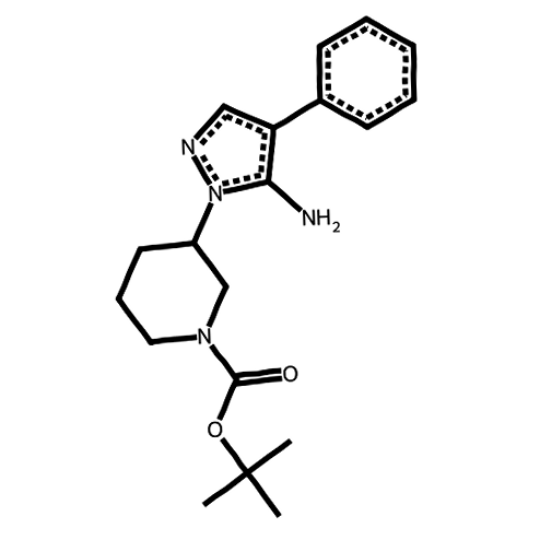 CC(C)(C)OC(=O)N1CCCC(n2ncc(-c3ccccc3)c2N)C1